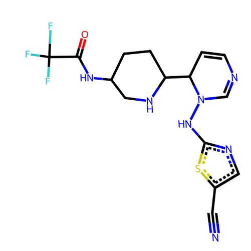 N#Cc1cnc(NN2C=NC=CC2C2CCC(NC(=O)C(F)(F)F)CN2)s1